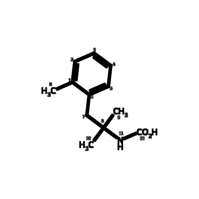 Cc1ccccc1CC(C)(C)NC(=O)O